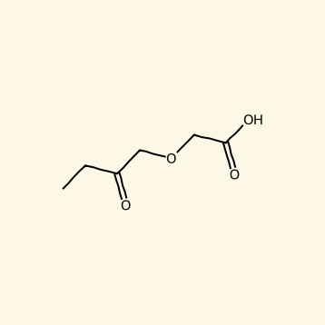 CCC(=O)COCC(=O)O